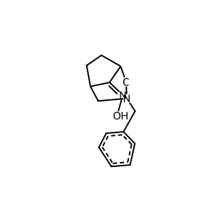 ON=C1C2CCC1CN(Cc1ccccc1)C2